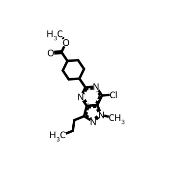 CCCc1nn(C)c2c(Cl)nc(C3CCC(C(=O)OC)CC3)nc12